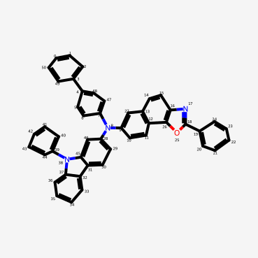 c1ccc(-c2ccc(N(c3ccc4c(ccc5nc(-c6ccccc6)oc54)c3)c3ccc4c5ccccc5n(-c5ccccc5)c4c3)cc2)cc1